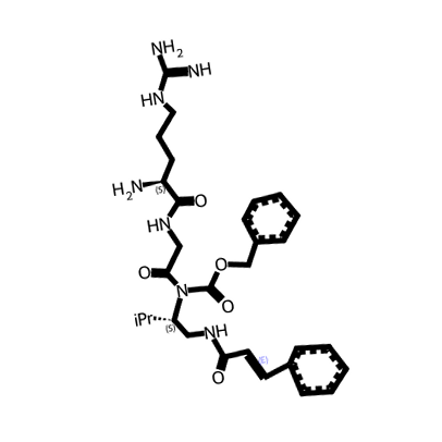 CC(C)[C@@H](CNC(=O)/C=C/c1ccccc1)N(C(=O)CNC(=O)[C@@H](N)CCCNC(=N)N)C(=O)OCc1ccccc1